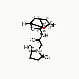 O=C(CN1C(=O)CCC1O)NC12CC3C[C@H](C[C@H](C3)O1)O2